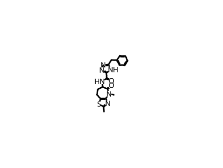 Cc1nc2c(s1)CCC(NC(=O)c1nnc(Cc3ccccc3)[nH]1)C(=O)N2C